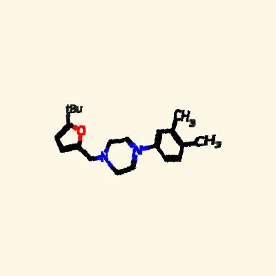 Cc1ccc(N2CCN(Cc3ccc(C(C)(C)C)o3)CC2)cc1C